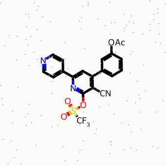 CC(=O)Oc1cccc(-c2cc(-c3ccncc3)nc(OS(=O)(=O)C(F)(F)F)c2C#N)c1